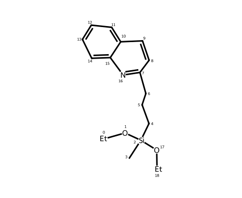 CCO[Si](C)(CCCc1ccc2ccccc2n1)OCC